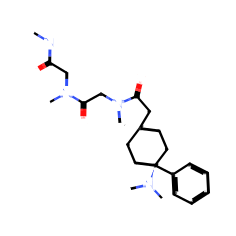 CNC(=O)CN(C)C(=O)CN1C[C@]2(CC[C@](c3ccccc3)(N(C)C)CC2)CC1=O